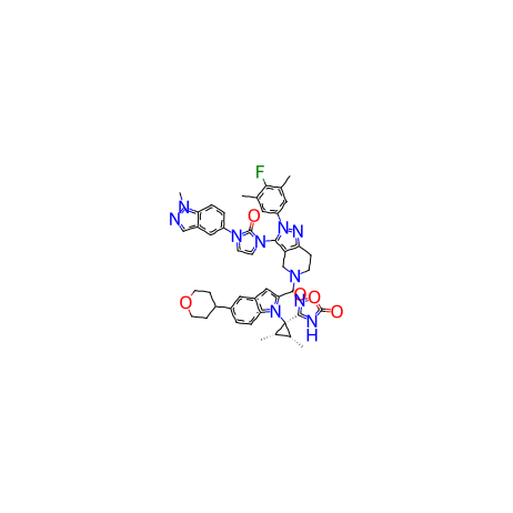 Cc1cc(-n2nc3c(c2-n2ccn(-c4ccc5c(cnn5C)c4)c2=O)CN(C(=O)c2cc4cc(C5CCOCC5)ccc4n2[C@@]2(c4noc(=O)[nH]4)[C@H](C)[C@@H]2C)CC3)cc(C)c1F